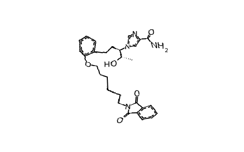 C[C@H](O)[C@@H](CCc1ccccc1OCCCCCCN1C(=O)c2ccccc2C1=O)n1cnc(C(N)=O)c1